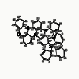 c1ccc([Si](c2ccccc2)(c2ccccc2)c2ccc3c4c2Oc2ccccc2B4c2cccc4c2N3c2cccc3c2B4c2ccccc2O3)cc1